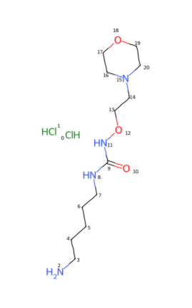 Cl.Cl.NCCCCCNC(=O)NOCCN1CCOCC1